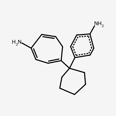 NC1=CC=C(C2(c3ccc(N)cc3)CCCCC2)CC=C1